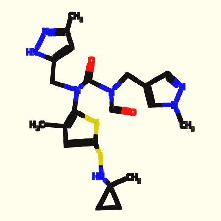 Cc1cc(CN(C(=O)N(C=O)Cc2cnn(C)c2)c2sc(SNC3(C)CC3)cc2C)[nH]n1